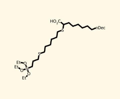 CCCCCCCCCCCCCCCCC(SCCCCCCSCCC[Si](OCC)(OCC)OCC)C(=O)O